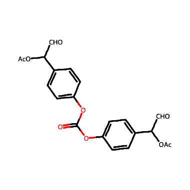 CC(=O)OC(C=O)c1ccc(OC(=O)Oc2ccc(C(C=O)OC(C)=O)cc2)cc1